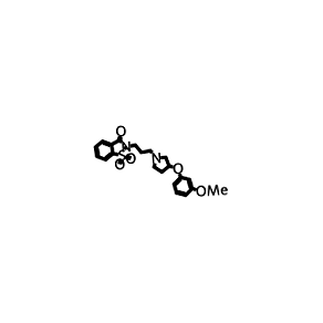 COc1cccc(OC2CCN(CCCN3C(=O)c4ccccc4S3(=O)=O)C2)c1